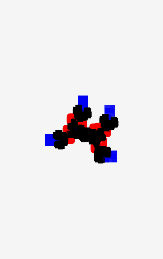 CC(C(=O)OC1CC(C)(C)NC(C)(C)C1)N(C(=O)c1cccc(C(=O)N(C(C)C(=O)OC2CC(C)(C)NC(C)(C)C2)C(C)C(=O)OC2CC(C)(C)NC(C)(C)C2)c1)C(C)C(=O)OC1CC(C)(C)NC(C)(C)C1